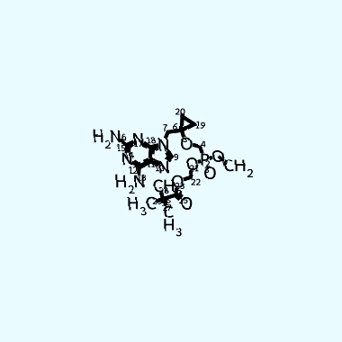 [CH2]OP(=O)(COC1(Cn2cnc3c(N)nc(N)nc32)CC1)OCOC(=O)C(C)(C)C